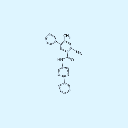 Cc1cc(C#N)c(C(=O)Nc2ccc(-c3ccccc3)cc2)cc1-c1ccccc1